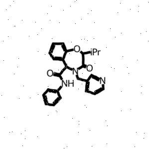 CC(C)C1Oc2ccccc2C(C(=O)Nc2ccccc2)N(Cc2cccnc2)C1=O